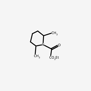 CCOC(=O)C(=O)N1C(C)CCCC1C